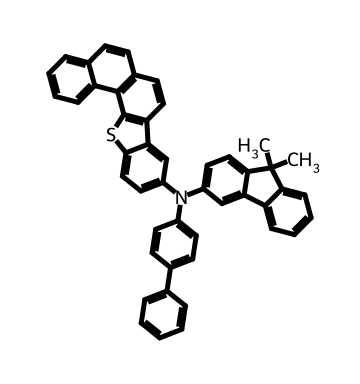 CC1(C)c2ccccc2-c2cc(N(c3ccc(-c4ccccc4)cc3)c3ccc4sc5c(ccc6ccc7ccccc7c65)c4c3)ccc21